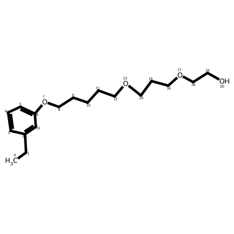 CCc1cccc(OCCCCCOCCCOCCO)c1